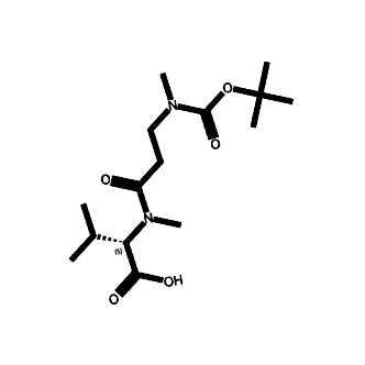 CC(C)[C@@H](C(=O)O)N(C)C(=O)CCN(C)C(=O)OC(C)(C)C